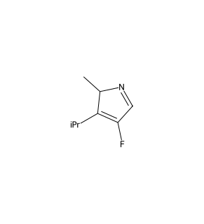 CC(C)C1=C(F)C=NC1C